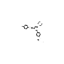 CNC(=O)Nc1ccc(-c2nc(N3CCOC[C@@H]3C)cc(C(C)(C)S(=O)(=O)c3ccc(Cl)cc3)n2)cc1